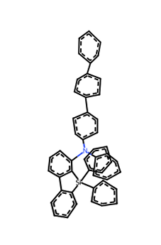 c1ccc(-c2ccc(-c3ccc(N(c4ccccc4)c4cccc5c4[Si](c4ccccc4)(c4ccccc4)c4ccccc4-5)cc3)cc2)cc1